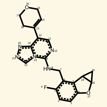 Fc1ccc2c(c1CNc1ncc(C3=CCOCC3)c3nncn13)C1CC1O2